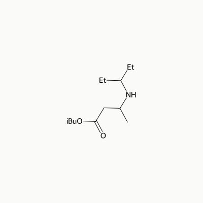 CCC(CC)NC(C)CC(=O)OCC(C)C